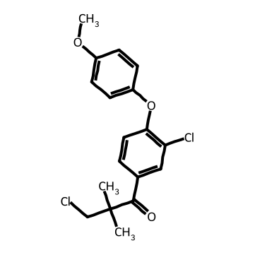 COc1ccc(Oc2ccc(C(=O)C(C)(C)CCl)cc2Cl)cc1